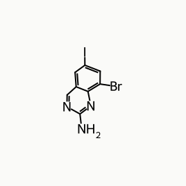 Nc1ncc2cc(I)cc(Br)c2n1